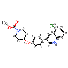 CC(C)(C)OC(=O)N1CCC(Oc2ccc(-c3cnc4cccc(Cl)c4c3)cc2)CC1